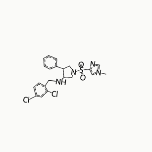 Cn1cnc(S(=O)(=O)N2CC(NCc3ccc(Cl)cc3Cl)C(c3ccccc3)C2)c1